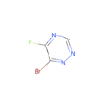 Fc1n[c]nnc1Br